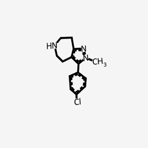 Cn1nc2c(c1-c1ccc(Cl)cc1)CCNCC2